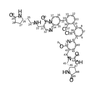 COc1nc(-c2cccc(-c3cccc(-c4ccn5c(=O)c(CNCC[C@@H]6CCC(=O)N6)cnc5c4)c3Cl)c2Cl)ccc1CN(C[C@@H]1CCC(=O)N1)C(=O)O